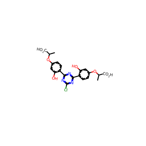 CC(Oc1ccc(-c2nc(Cl)nc(-c3ccc(OC(C)C(=O)O)cc3O)n2)c(O)c1)C(=O)O